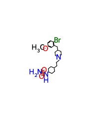 COc1ccc(Br)c(CC2CCN(CCCC3CCC(NS(N)(=O)=O)CC3)CC2)c1